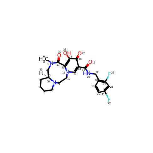 CN1C[C@@H]2CCCCN2CCn2cc(C(=O)NCc3ccc(F)cc3F)c(=O)c(O)c2C1=O